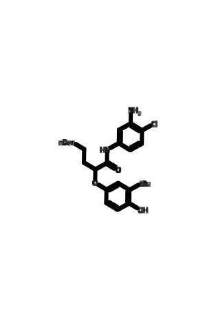 CCCCCCCCCCCCC(Oc1ccc(O)c(C(C)(C)C)c1)C(=O)Nc1ccc(Cl)c(N)c1